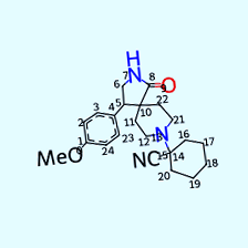 COc1ccc(C2CNC(=O)C23CCN(C2(C#N)CCCCC2)CC3)cc1